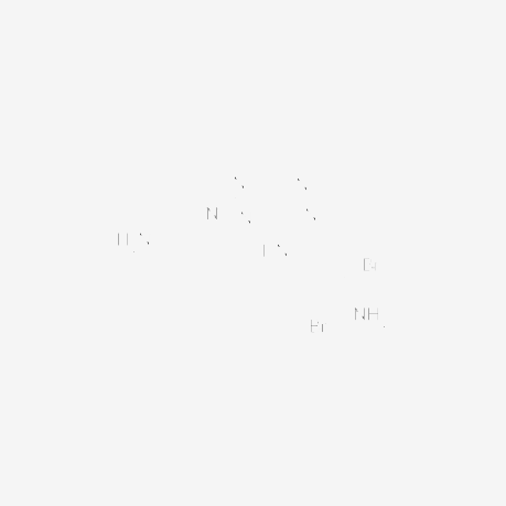 Nc1c(Br)cc(Nc2ncnc3cnc(N4CCC(N)CC4)nc23)cc1Br